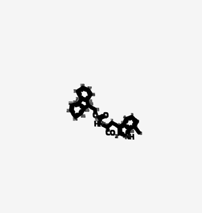 Cc1cccc2c(C[C@H](NC(=O)OCC3c4ccccc4-c4ccccc43)C(=O)O)c[nH]c12